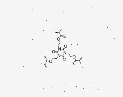 C=C(C)C(=S)OCCn1c(=O)n(CCOC(=S)C(=C)C)c(=O)n(CCOC(=S)C(=C)C)c1=O